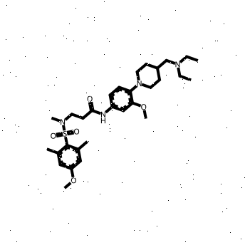 CCN(CC)CC1CCN(c2ccc(NC(=O)CCN(C)S(=O)(=O)c3c(C)cc(OC)cc3C)cc2OC)CC1